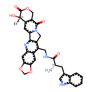 CC[C@@]1(O)C(=O)OCc2c1cc1n(c2=O)Cc2c-1nc1cc3c(cc1c2CNC(=O)[C@@H](N)Cc1c[nH]c2ccccc12)OCO3